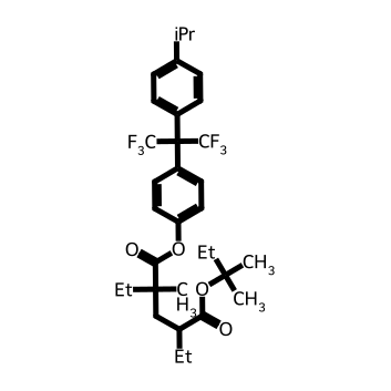 CCC(CC(C)(CC)C(=O)Oc1ccc(C(c2ccc(C(C)C)cc2)(C(F)(F)F)C(F)(F)F)cc1)C(=O)OC(C)(C)CC